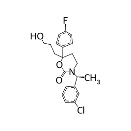 C[C@@H](c1cccc(Cl)c1)N1CCC(CCCO)(c2ccc(F)cc2)OC1=O